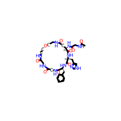 CC(=O)NCC(=O)N[C@H]1CC(=O)NCCOCCNC(=O)CNC(=O)CNC(=O)[C@@H](Cc2ccccc2)NC(=O)[C@H](Cc2c[nH]cn2)NC1=O